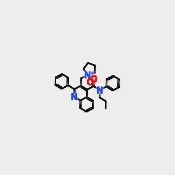 CCCN(C(=O)c1c(C[N+]2([O-])CCCC2)c(-c2ccccc2)nc2ccccc12)c1ccccc1